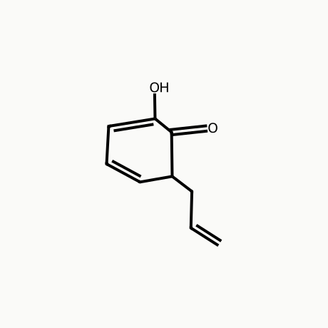 C=CCC1C=CC=C(O)C1=O